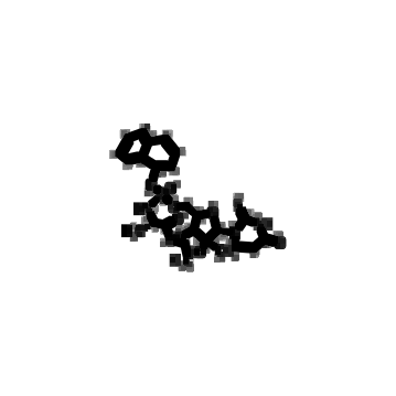 CCOC(=O)[C@H](C)N[P@@](=O)(OC[C@H]1O[C@@H](n2ccc(=O)[nH]c2=S)[C@](C)(O)C1O)Oc1cccc2ccccc12